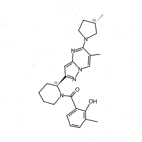 Cc1cn2nc([C@@H]3CCCCN3C(=O)c3cccc(C)c3O)cc2nc1N1CC[C@H](C)C1